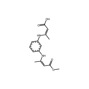 COC(=O)/C=C(/C)Nc1cccc(N/C(C)=C\C(=O)O)c1